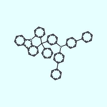 c1ccc(-c2ccc(N(c3ccc(-c4ccccc4)cc3)c3cccc(C4(c5ccccc5)c5ccccc5-n5c6ccccc6c6cccc4c65)c3)cc2)cc1